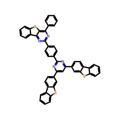 c1ccc(-c2nc(-c3ccc(-c4nc(-c5ccc6c(c5)sc5ccccc56)cc(-c5ccc6c(c5)sc5ccccc56)n4)cc3)nc3c2sc2ccccc23)cc1